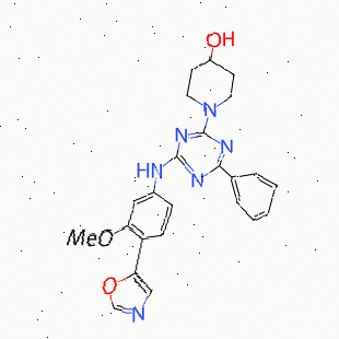 COc1cc(Nc2nc(-c3ccccc3)nc(N3CCC(O)CC3)n2)ccc1-c1cnco1